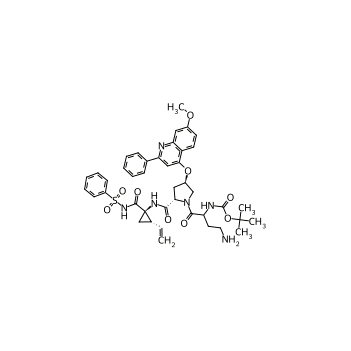 C=C[C@@H]1C[C@]1(NC(=O)[C@@H]1C[C@@H](Oc2cc(-c3ccccc3)nc3cc(OC)ccc23)CN1C(=O)C(CCN)NC(=O)OC(C)(C)C)C(=O)NS(=O)(=O)c1ccccc1